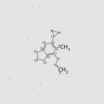 C=CCc1c(C)c(C2CC2)cc2c1CCC2